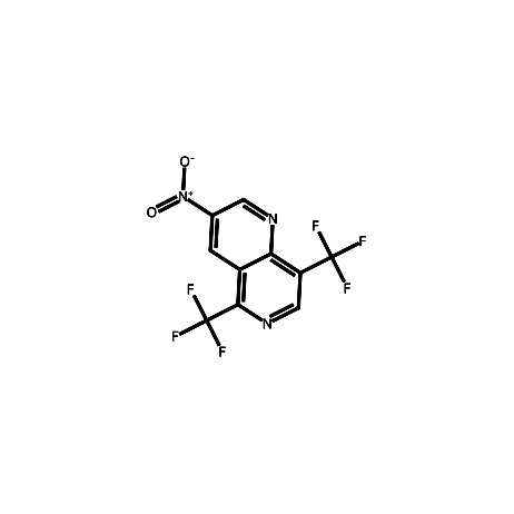 O=[N+]([O-])c1cnc2c(C(F)(F)F)cnc(C(F)(F)F)c2c1